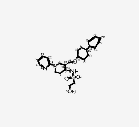 O=S(=O)(CCO)N[C@H]1CCN(c2ccccn2)C[C@H]1COC1CCC(c2ccccc2)CC1